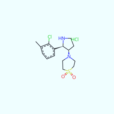 Cc1cccc([C@H]2NCC[C@H]2N2CCS(=O)(=O)CC2)c1Cl.Cl